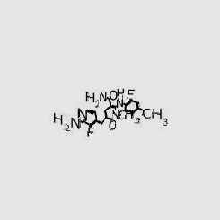 Cc1ccc(Nc2c(C(N)=O)cc(Cc3ccnc(N)c3F)c(=O)n2C)c(F)c1